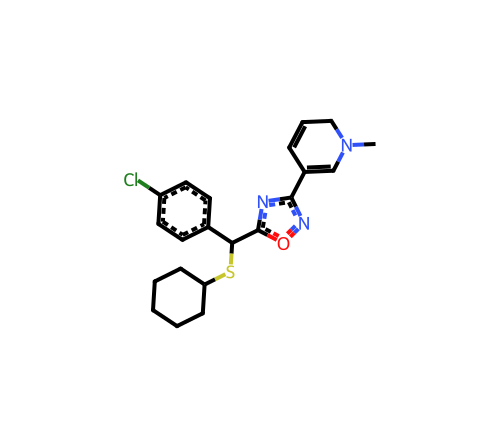 CN1C=C(c2noc(C(SC3CCCCC3)c3ccc(Cl)cc3)n2)C=CC1